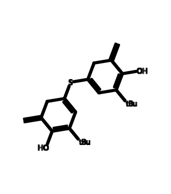 C=C1CC(SC2=CC(C(C)(C)C)=C(O)C(=C)C2)=CC(C(C)(C)C)=C1O